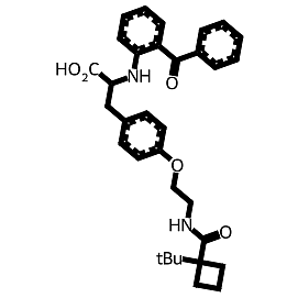 CC(C)(C)C1(C(=O)NCCOc2ccc(CC(Nc3ccccc3C(=O)c3ccccc3)C(=O)O)cc2)CCC1